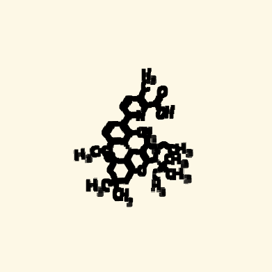 CCN1C(=O)C2=C(OC3=C(C(=O)CC(C)(C)C3)[C@@H]2c2c(OC)ccc(-c3ccc(C)c(C(=O)O)n3)c2C)[C@H]1C(C)(C)C